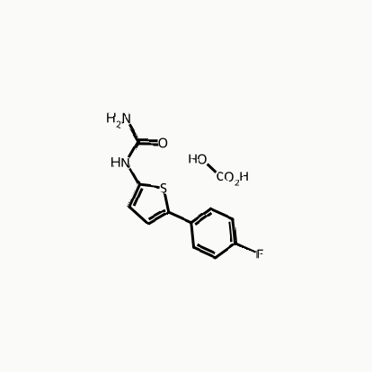 NC(=O)Nc1ccc(-c2ccc(F)cc2)s1.O=C(O)O